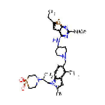 CNc1nc(NC2CCN(Cc3ccc4c(cc(C#N)n4C[C@H](C)N4CCS(=O)(=O)CC4)c3C)CC2)c2cc(CC(F)(F)F)sc2n1